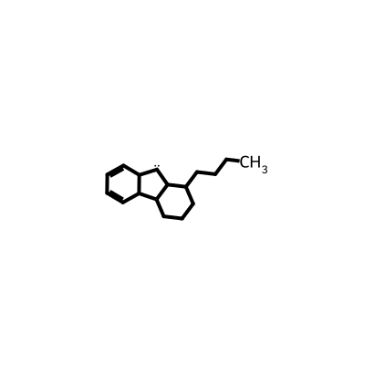 CCCCC1CCCC2C1[C]C1C=CC=CC12